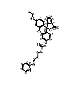 CCOc1ccc2c(c1)Oc1cc(OC(=O)OCCSSc3ccccn3)ccc1C21OC(=O)c2ccccc21